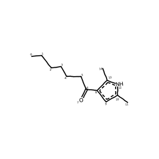 CCCCCCC(=O)c1cc(C)[nH]c1C